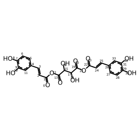 O=C(C=Cc1ccc(O)c(O)c1)OC(=O)C(O)C(O)C(=O)OC(=O)C=Cc1ccc(O)c(O)c1